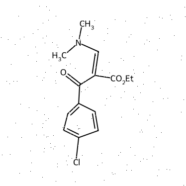 CCOC(=O)/C(=C/N(C)C)C(=O)c1ccc(Cl)cc1